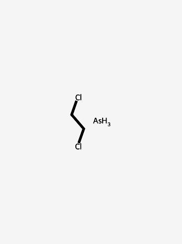 ClCCCl.[AsH3]